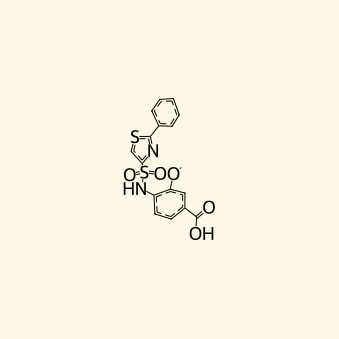 COc1cc(C(=O)O)ccc1NS(=O)(=O)c1csc(-c2ccccc2)n1